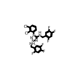 Fc1cc(F)c(CNc2nnnn2-c2cccc(Cl)c2Cl)cc1F.NCc1cc(F)c(F)cc1F